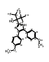 COc1ccc(-c2nc(C(O)(C(F)F)C(F)(F)F)[nH]c2-c2ccc(OC)cc2)cc1